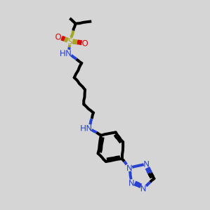 CC(C)S(=O)(=O)NCCCCCNc1ccc(-n2ncnn2)cc1